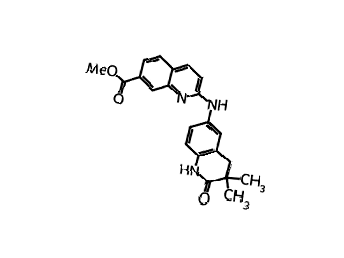 COC(=O)c1ccc2ccc(Nc3ccc4c(c3)CC(C)(C)C(=O)N4)nc2c1